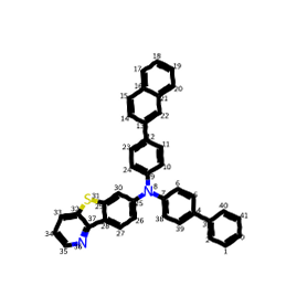 c1ccc(-c2ccc(N(c3ccc(-c4ccc5ccccc5c4)cc3)c3ccc4c(c3)sc3cccnc34)cc2)cc1